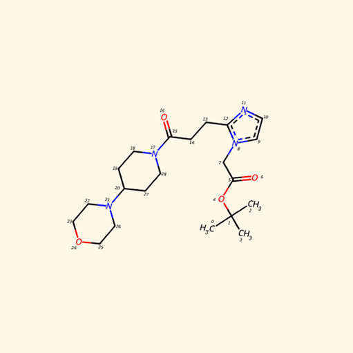 CC(C)(C)OC(=O)Cn1ccnc1CCC(=O)N1CCC(N2CCOCC2)CC1